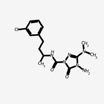 CC(CCc1cccc(Cl)c1)NC(=O)n1nc(N(C)C)n(N)c1=O